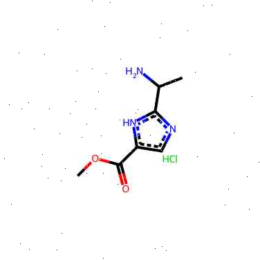 COC(=O)c1cnc(C(C)N)[nH]1.Cl